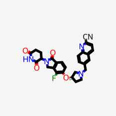 N#Cc1ccc2cc(CN3CC[C@H](Oc4ccc5c(c4F)CN(C4CCC(=O)NC4=O)C5=O)C3)ccc2n1